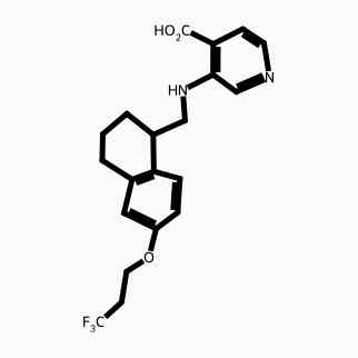 O=C(O)c1ccncc1NCC1CCCc2cc(OCCC(F)(F)F)ccc21